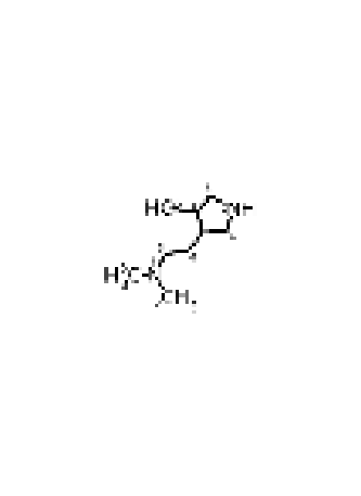 CN(C)CCC1CNCC1O